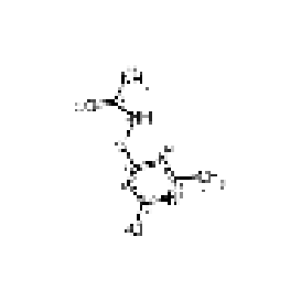 Cc1nc(Cl)cc(SNC(N)=O)n1